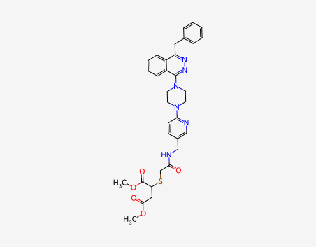 COC(=O)CC(SCC(=O)NCc1ccc(N2CCN(c3nnc(Cc4ccccc4)c4ccccc34)CC2)nc1)C(=O)OC